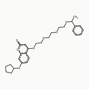 CC(OCCOCCOCCOc1cc(=O)oc2cc(SC3CCCC3)ccc12)c1ccccc1